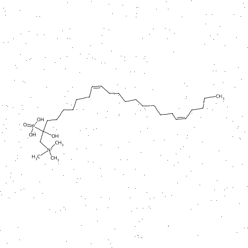 CCCC/C=C\CCCCCCCC/C=C\CCCCCCC(O)(C[N+](C)(C)C)P(=O)(O)O